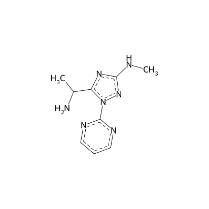 CNc1nc(C(C)N)n(-c2ncccn2)n1